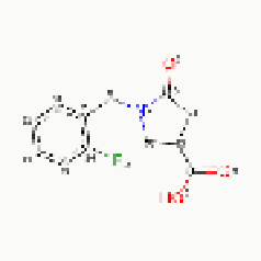 O=C(O)C1CC(=O)N(Cc2ccccc2F)C1